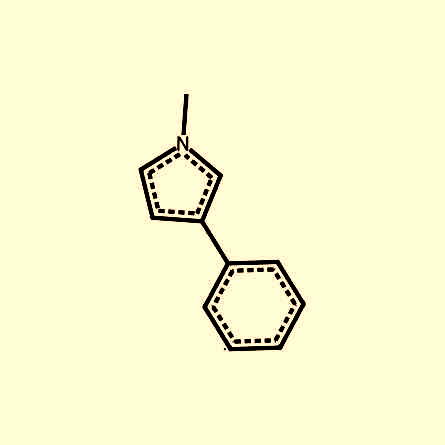 Cn1ccc(-c2c[c]ccc2)c1